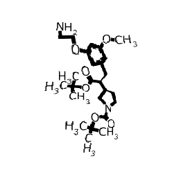 COc1cc(C[C@H](C(=O)OC(C)(C)C)[C@H]2CCN(C(=O)OC(C)(C)C)C2)cc(OCCN)c1